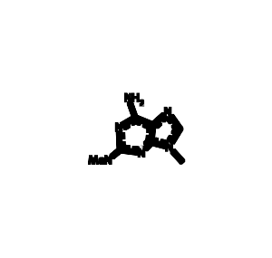 CNc1nc(N)c2ncn(C)c2n1